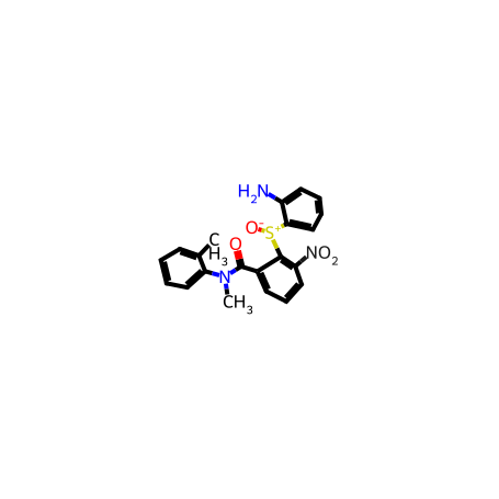 Cc1ccccc1N(C)C(=O)c1cccc([N+](=O)[O-])c1[S+]([O-])c1ccccc1N